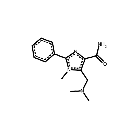 CN(C)Cc1c(C(N)=O)nc(-c2ccccc2)n1C